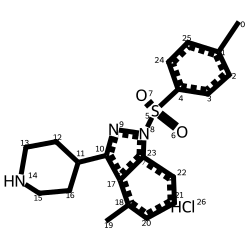 Cc1ccc(S(=O)(=O)n2nc(C3CCNCC3)c3c(C)cccc32)cc1.Cl